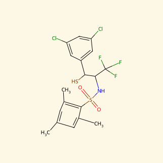 Cc1cc(C)c(S(=O)(=O)NC(C(S)c2cc(Cl)cc(Cl)c2)C(F)(F)F)c(C)c1